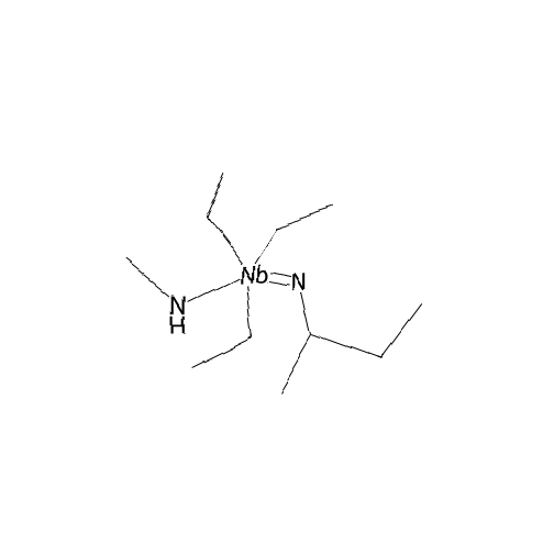 CCC(C)[N]=[Nb]([CH2]C)([CH2]C)([CH2]C)[NH]C